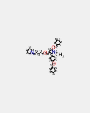 CCn1c(OCc2ccccc2)cc(COCCCCCN2CCCCC2)c1-c1ccc(OCc2ccccc2)cc1